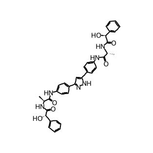 C[C@H](NC(=O)[C@@H](O)c1ccccc1)C(=O)Nc1ccc(-c2cc(-c3ccc(NC(=O)[C@@H](C)NC(=O)[C@@H](O)c4ccccc4)cc3)[nH]n2)cc1